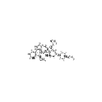 CCOc1cc(N2CCN(C)CC2)ccc1C1(N)N=Cc2ccc(-c3cccnc3OC)n2N1